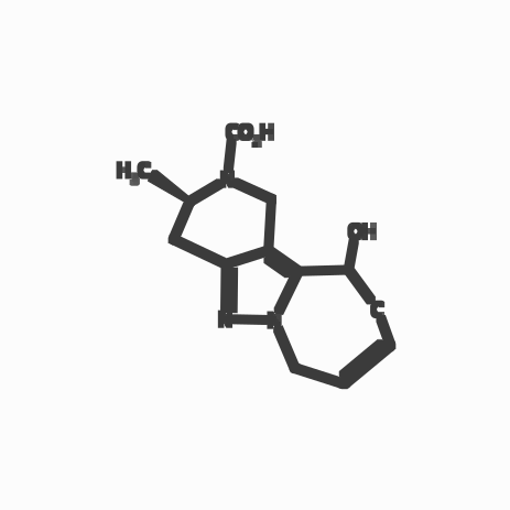 C[C@@H]1Cc2nn3c(c2CN1C(=O)O)C(O)CC=CC3